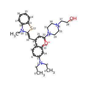 CCN(CC)c1ccc2c(/C=C3\Sc4ccccc4N3C)cc(N3CCN(CCO)CC3)[o+]c2c1